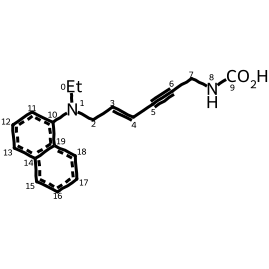 CCN(CC=CC#CCNC(=O)O)c1cccc2ccccc12